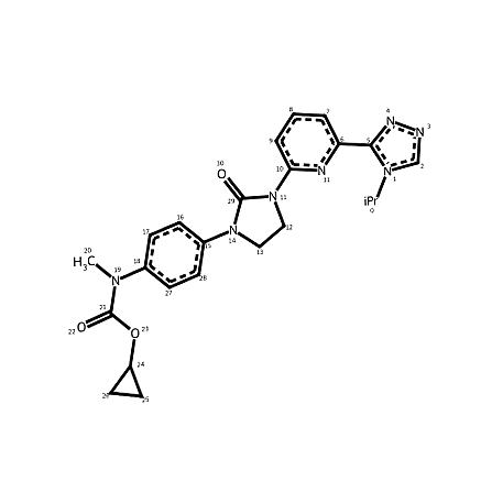 CC(C)n1cnnc1-c1cccc(N2CCN(c3ccc(N(C)C(=O)OC4CC4)cc3)C2=O)n1